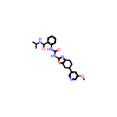 COc1cncc(C2CCc3nc(NC(=O)Nc4ccccc4C(=O)NC(C)C)sc3C2)c1